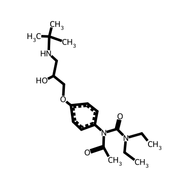 CCN(CC)C(=O)N(C(C)=O)c1ccc(OCC(O)CNC(C)(C)C)cc1